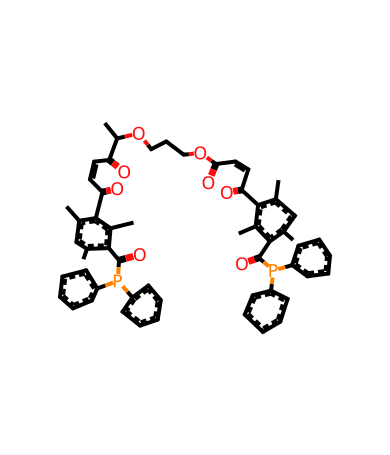 Cc1cc(C)c(C(=O)P(c2ccccc2)c2ccccc2)c(C)c1C(=O)/C=C\C(=O)OCCCOC(C)C(=O)/C=C\C(=O)c1c(C)cc(C)c(C(=O)P(c2ccccc2)c2ccccc2)c1C